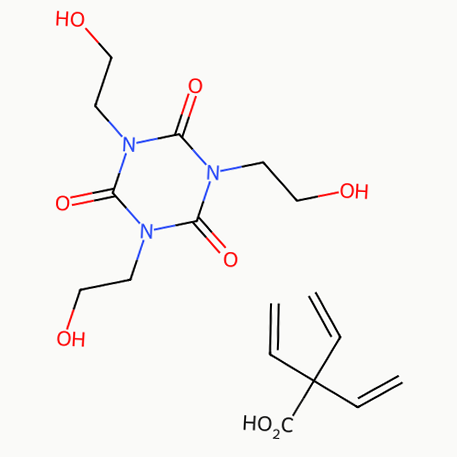 C=CC(C=C)(C=C)C(=O)O.O=c1n(CCO)c(=O)n(CCO)c(=O)n1CCO